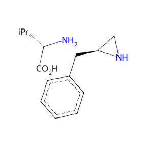 CC(C)[C@H](N)C(=O)O.c1ccc(C[C@H]2CN2)cc1